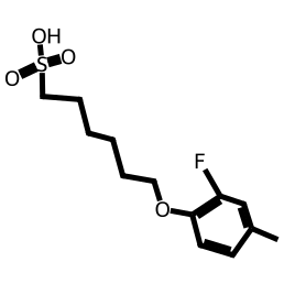 Cc1ccc(OCCCCCCS(=O)(=O)O)c(F)c1